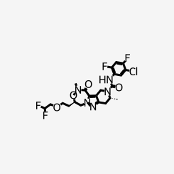 C[C@@H]1Cc2nn3c(c2CN1C(=O)Nc1cc(Cl)c(F)cc1F)C(=O)N(C)O[C@H](CCOCC(F)F)C3